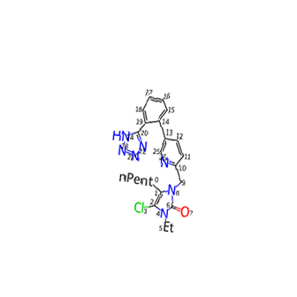 CCCCCc1c(Cl)n(CC)c(=O)n1Cc1ccc(-c2ccccc2-c2nnn[nH]2)cn1